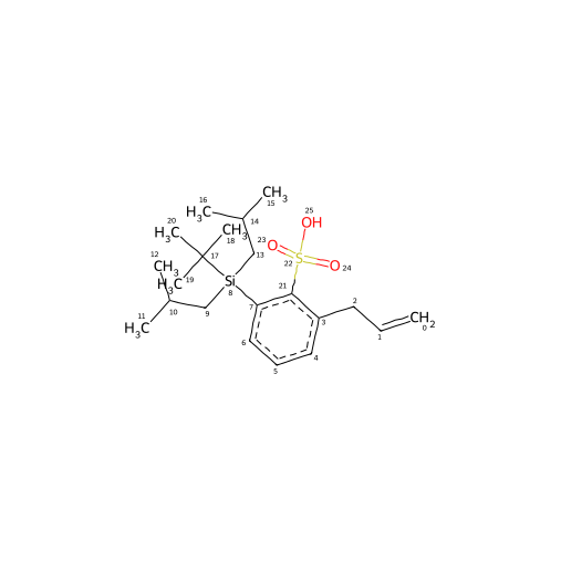 C=CCc1cccc([Si](CC(C)C)(CC(C)C)C(C)(C)C)c1S(=O)(=O)O